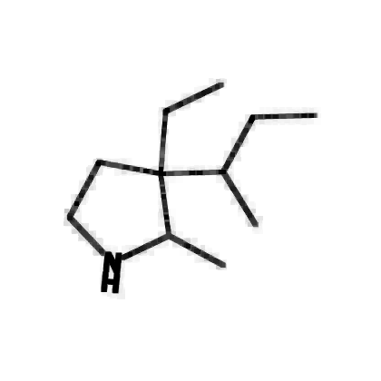 CCC(C)C1(CC)CCNC1C